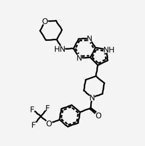 O=C(c1ccc(OC(F)(F)F)cc1)N1CCC(c2c[nH]c3ncc(NC4CCOCC4)nc23)CC1